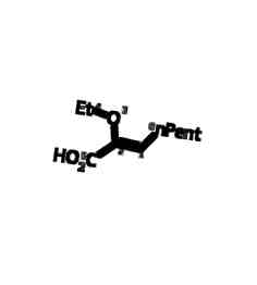 CCCCCC=C(OCC)C(=O)O